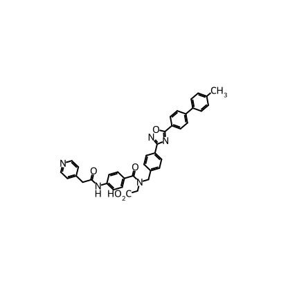 Cc1ccc(-c2ccc(-c3nc(-c4ccc(CN(CC(=O)O)C(=O)c5ccc(NC(=O)Cc6ccncc6)cc5)cc4)no3)cc2)cc1